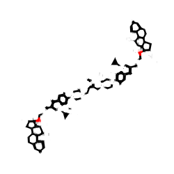 COc1c(N2CCN(Cc3oc(=O)oc3CN3CCN(c4c(F)cc5c(=O)c(C(=O)OCC(=O)[C@]6(O)[C@@H](C)CC7C8CCC9=CC(=O)C=C[C@@]9(C)[C@]8(F)[C@H](O)C[C@]76C)cn(C6CC6)c5c4OC)CC3C)C(C)C2)c(F)cc2c(=O)c(C(=O)OCC(=O)[C@@]3(O)[C@H](C)CC4C5CCC6=CC(=O)C=C[C@]6(C)[C@@]5(F)[C@@H](O)C[C@@]43C)cn(C3CC3)c12